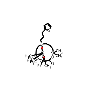 CCC1O[Si](C)(C)CCC[Si]2(CCCc3cccs3)CCC[Si](C)(C)OC(CC)C1(C)O[Si](C)(C)CCC2